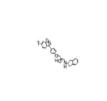 O[C@H](CNC1Cc2ccccc2C1)COc1ccc(-c2noc3cc(F)ccc23)cc1